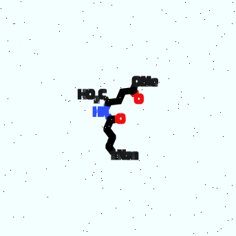 CCCCCCCCCCCCC(=O)N[C@@H](CCC(=O)OC)C(=O)O